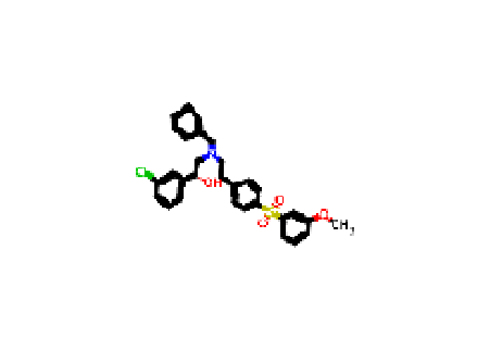 COc1cccc(S(=O)(=O)c2ccc(CCN(Cc3ccccc3)C[C@H](O)c3cccc(Cl)c3)cc2)c1